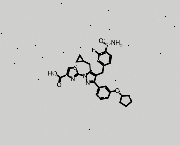 N[S+]([O-])c1ccc(Cc2c(-c3cccc(OC4CCCC4)c3)nn(-c3nc(C(=O)O)cs3)c2CC2CC2)cc1F